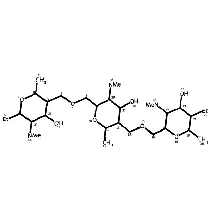 CCC1OC(C)C(COCC2OC(C)C(COCC3OC(C)C(CC)C(O)C3NC)C(O)C2NC)C(O)C1NC